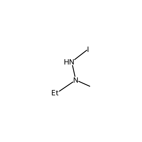 CCN(C)NI